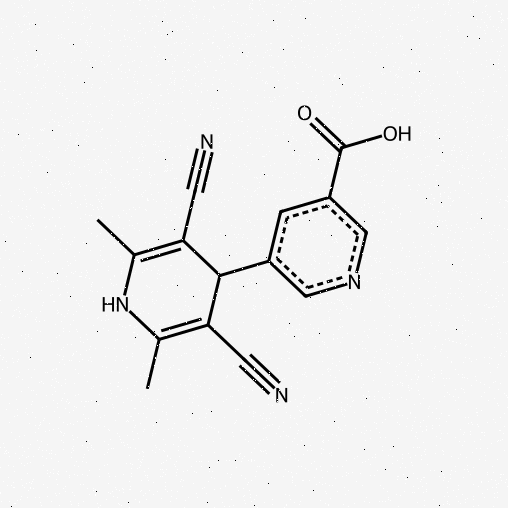 CC1=C(C#N)C(c2cncc(C(=O)O)c2)C(C#N)=C(C)N1